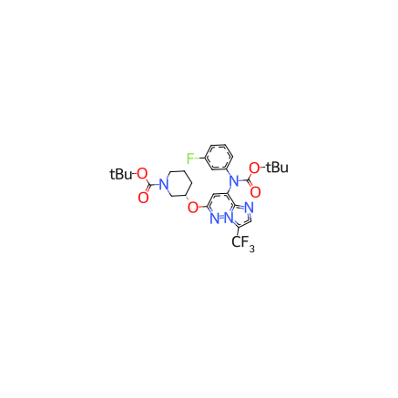 CC(C)(C)OC(=O)N1CCC[C@H](Oc2cc(N(C(=O)OC(C)(C)C)c3cccc(F)c3)c3ncc(C(F)(F)F)n3n2)C1